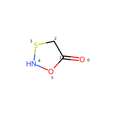 O=C1CSNO1